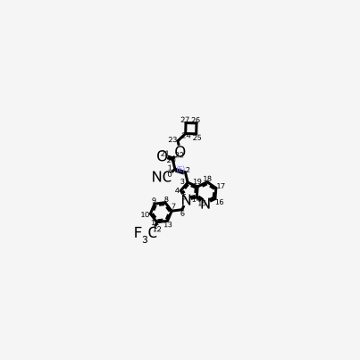 N#C/C(=C\c1cn(Cc2cccc(C(F)(F)F)c2)c2ncccc12)C(=O)OCC1CCC1